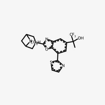 CC(O)(c1cc(-c2nccs2)c2oc(N3CC4CC(C3)N4C(=O)O)nc2c1)C(F)(F)F